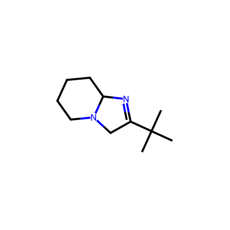 CC(C)(C)C1=NC2CCCCN2C1